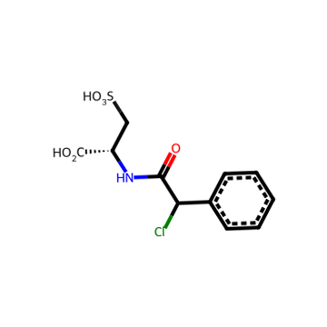 O=C(N[C@@H](CS(=O)(=O)O)C(=O)O)C(Cl)c1ccccc1